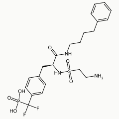 NCCS(=O)(=O)N[C@@H](Cc1ccc(C(F)(F)P(=O)(O)O)cc1)C(=O)NCCCCc1ccccc1